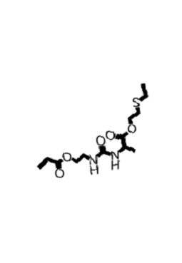 C=CC(=O)OCCNC(=O)NC(C)C(=O)OCCSCC